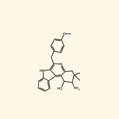 COc1ccc(Cc2nc3c(c4c2[nH]c2ccccc24)C(O)C(N)C(C)(C)C3)cc1